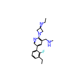 CCN=C1CN(c2ncc(-c3cccc(CC)c3F)cc2CNC)C1